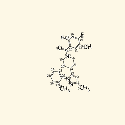 Cc1cc(C2CCN(C(=O)c3cc(O)c(F)cc3F)CC2)n(-c2ccccc2C)n1